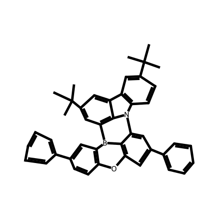 CC(C)(C)c1ccc2c(c1)c1cc(C(C)(C)C)cc3c1n2-c1cc(-c2ccccc2)cc2c1B3c1cc(-c3ccccc3)ccc1O2